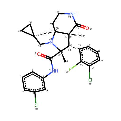 C[C@]1(C(=O)Nc2cccc(Cl)c2)[C@@H](c2cccc(Cl)c2F)[C@@H]2C(=O)NCC[C@@H]2N1CC1CC1